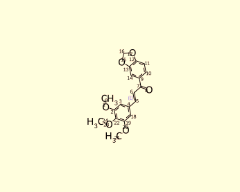 COc1cc(/C=C/C(=O)c2ccc3c(c2)OCO3)cc(OC)c1OC